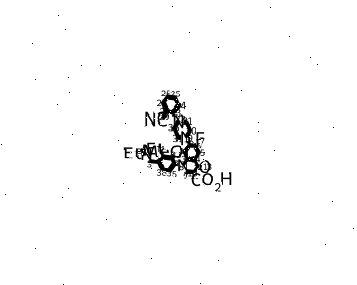 CCN(CC)Cc1ccc(-n2cc(C(=O)O)c(=O)c3cc(F)c(N4CCN(c5ccccc5C#N)CC4)c(OC)c32)cc1